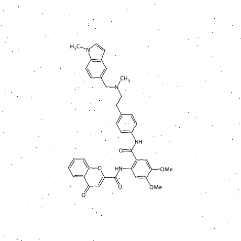 COc1cc(NC(=O)c2cc(=O)c3ccccc3o2)c(C(=O)Nc2ccc(CCN(C)Cc3ccc4c(ccn4C)c3)cc2)cc1OC